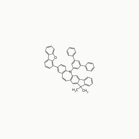 CC1(C)c2ccccc2-c2cc3c(cc21)C=Cc1cc(-c2cccc4c2oc2ccccc24)ccc1N3c1cc(-c2ccccc2)cc(-c2ccccc2)c1